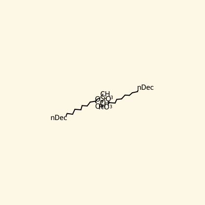 CCCCCCCCCCCCCCCCCC(O)O[Si](C)(C)OC(O)CCCCCCCCCCCCCCCCC